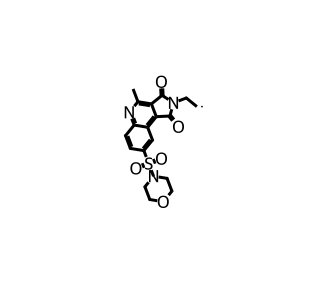 [CH2]CN1C(=O)c2c(C)nc3ccc(S(=O)(=O)N4CCOCC4)cc3c2C1=O